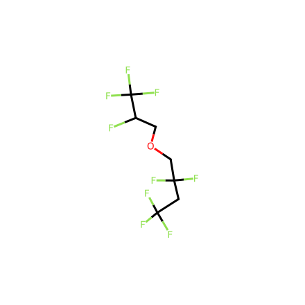 FC(COCC(F)(F)CC(F)(F)F)C(F)(F)F